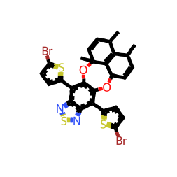 CC1C=CC2(C)Oc3c(c(-c4ccc(Br)s4)c4nsnc4c3-c3ccc(Br)s3)OC3(C)C=CC(C)C1=C23